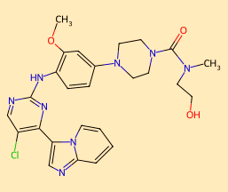 COc1cc(N2CCN(C(=O)N(C)CCO)CC2)ccc1Nc1ncc(Cl)c(-c2cnc3ccccn23)n1